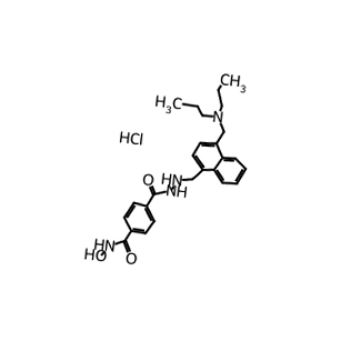 CCCN(CCC)Cc1ccc(CNNC(=O)c2ccc(C(=O)NO)cc2)c2ccccc12.Cl